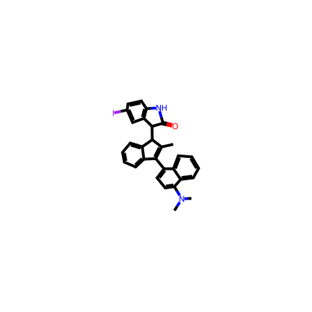 CC1=C(c2ccc(N(C)C)c3ccccc23)c2ccccc2C1C1C(=O)Nc2ccc(I)cc21